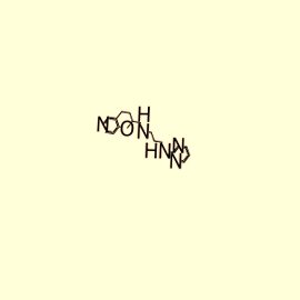 c1cnc(NCCCNCC2CCc3cnccc3O2)nc1